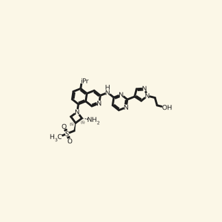 CC(C)c1ccc(N2C[C@H](CS(C)(=O)=O)[C@H]2N)c2cnc(Nc3ccnc(-c4cnn(CCO)c4)n3)cc12